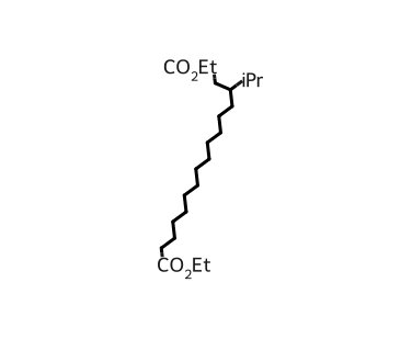 CCOC(=O)CCCCCCCCCCCCC(CC(=O)OCC)C(C)C